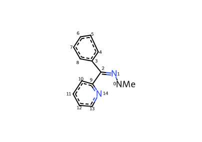 CNN=C(c1ccccc1)c1ccccn1